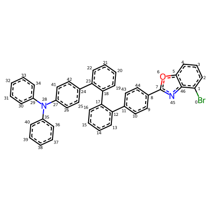 Brc1cccc2oc(-c3ccc(-c4ccccc4-c4ccccc4-c4ccc(N(c5ccccc5)c5ccccc5)cc4)cc3)nc12